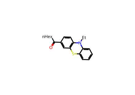 CCCCCCC(=O)c1ccc2c(c1)Sc1ccccc1N2CC